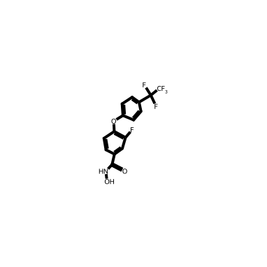 O=C(NO)c1ccc(Oc2ccc(C(F)(F)C(F)(F)F)cc2)c(F)c1